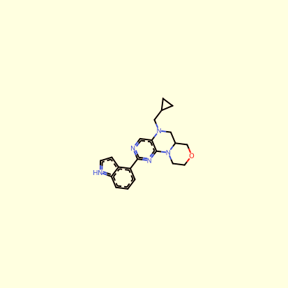 c1cc(-c2ncc3c(n2)N2CCOCC2CN3CC2CC2)c2cc[nH]c2c1